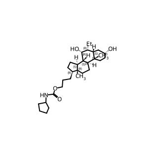 CC[C@H]1[C@@H](O)[C@@H]2[C@H](CC[C@]3(C)[C@@H](CCCOC(=O)NC4CCCC4)CC[C@@H]23)[C@@]2(C)CC[C@@H](O)C[C@@H]12